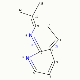 C/C=C1/C=CC=N/C1=N/C=C(C)C